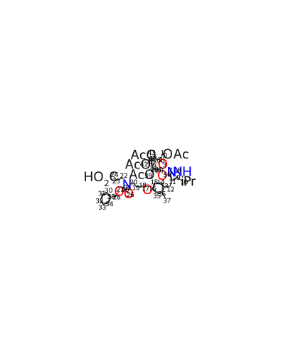 CC(=O)OC[C@H]1O[C@@H](Oc2n[nH]c(C(C)C)c2Cc2ccc(OCCCN(CCC(=O)O)C(=O)OCc3ccccc3)cc2C)[C@H](OC(C)=O)[C@@H](OC(C)=O)[C@@H]1OC(C)=O